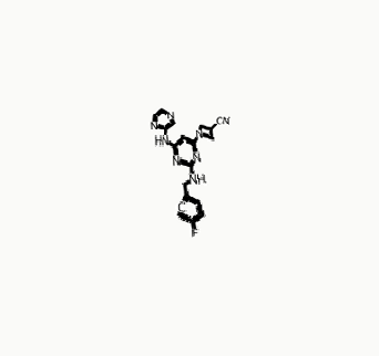 N#CC1CN(c2cc(Nc3cnccn3)nc(NCc3ccc(F)cc3)n2)C1